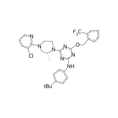 C[C@@H]1CN(c2ncccc2Cl)CCN1c1nc(Nc2ccc(C(C)(C)C)cc2)nc(OCc2ccccc2C(F)(F)F)n1